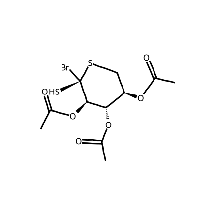 CC(=O)O[C@@H]1[C@@H](OC(C)=O)[C@](S)(Br)SC[C@H]1OC(C)=O